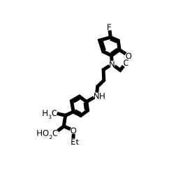 CCOC(C(=O)O)C(C)c1ccc(NCCCN2CCOc3cc(F)ccc32)cc1